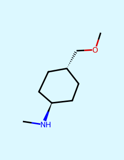 CN[C@H]1CC[C@H](COC)CC1